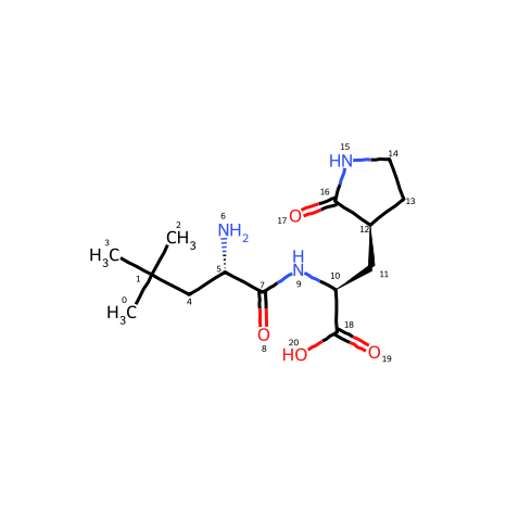 CC(C)(C)C[C@H](N)C(=O)N[C@@H](C[C@@H]1CCNC1=O)C(=O)O